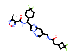 Cc1nonc1C(=O)N[C@H](c1cn2ncc(CNC(=O)CC3CC(F)(F)C3)cc2n1)C1CCC(F)(F)CC1